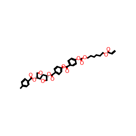 C=CC(=O)OCCCCCCOC(=O)Oc1ccc(C(=O)Oc2ccc(C(=O)O[C@H]3COC4C3OC[C@@H]4OC(=O)c3ccc(C)cc3)cc2)cc1